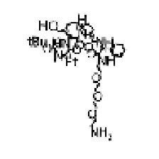 CC[C@@H](C(=O)N[C@@H]1C(=O)N2[C@@H](CC[C@@H]1CO)CC[C@H]2C(=O)N[C@H](C(=O)NCCOCCOCCOCCN)c1ccccc1)N(C)C(=O)OC(C)(C)C